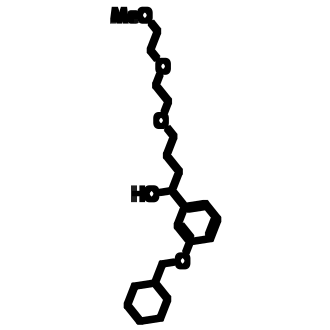 COCCOCCOCCCC(O)c1cccc(OCC2CCCCC2)c1